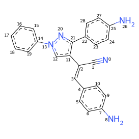 N#CC(=Cc1ccc(N)cc1)c1cn(-c2ccccc2)nc1-c1ccc(N)cc1